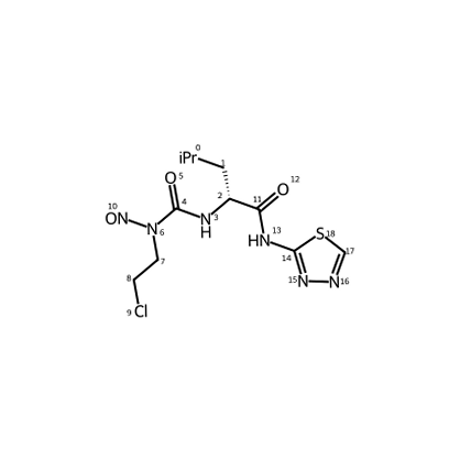 CC(C)C[C@@H](NC(=O)N(CCCl)N=O)C(=O)Nc1nncs1